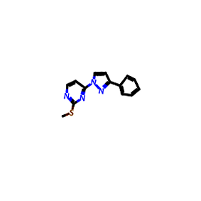 CSc1nccc(-n2ccc(-c3ccccc3)n2)n1